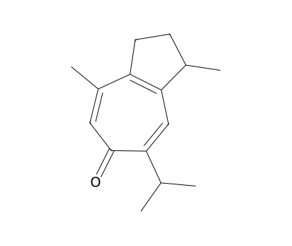 Cc1cc(=O)c(C(C)C)cc2c1CCC2C